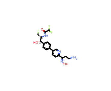 NCC/C(=N\O)c1ccc(-c2ccc([C@H](O)[C@@H](CF)NC(=O)C(F)F)cc2)cn1